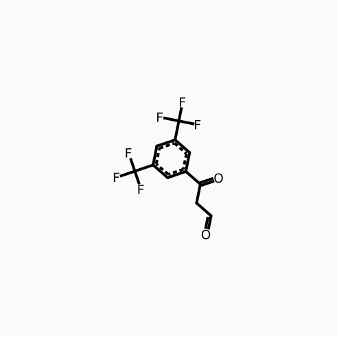 O=CCC(=O)c1cc(C(F)(F)F)cc(C(F)(F)F)c1